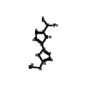 FC(F)c1nnc(-c2cnc(CBr)s2)o1